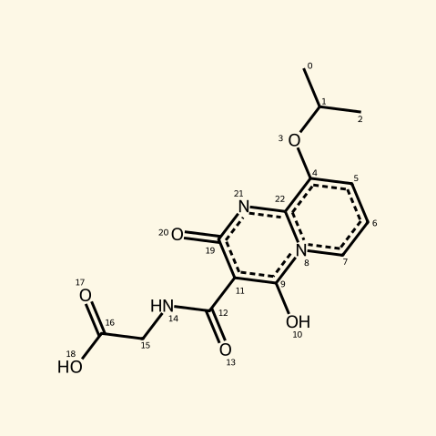 CC(C)Oc1cccn2c(O)c(C(=O)NCC(=O)O)c(=O)nc12